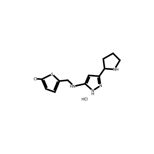 Cl.Clc1ccc(CNc2cc(C3CCCN3)n[nH]2)s1